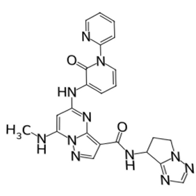 CNc1cc(Nc2cccn(-c3ccccn3)c2=O)nc2c(C(=O)NC3CCn4ncnc43)cnn12